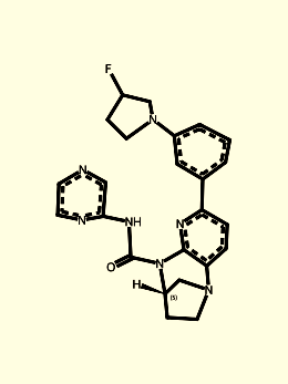 O=C(Nc1cnccn1)N1c2nc(-c3cccc(N4CCC(F)C4)c3)ccc2N2CC[C@H]1C2